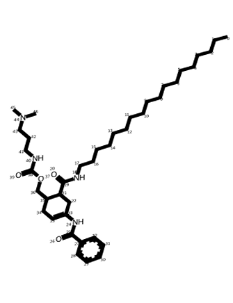 CCCCCCCCCCCCCCCCCCNC(=O)C1CC(NC(=O)c2ccccc2)=CCC1COC(=O)NCCCN(C)C